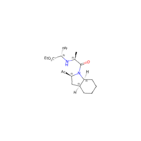 CCC[C@H](N[C@@H](C)C(=O)N1[C@H](C(C)=O)C[C@@H]2CCCC[C@@H]21)C(=O)OCC